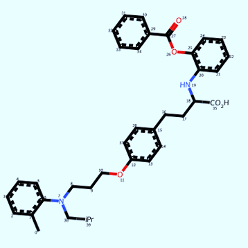 Cc1ccccc1N(CCCOc1ccc(CCC(Nc2ccccc2OC(=O)c2ccccc2)C(=O)O)cc1)CC(C)C